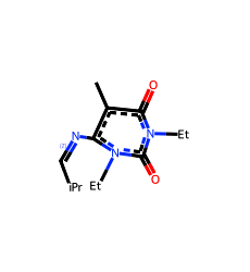 CCn1c(/N=C\C(C)C)c(C)c(=O)n(CC)c1=O